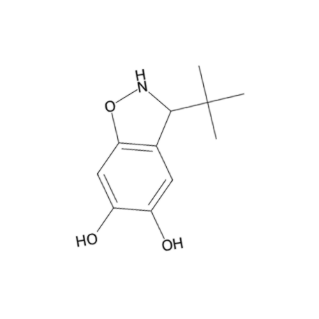 CC(C)(C)C1NOc2cc(O)c(O)cc21